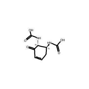 O=C(O)N[C@H]1CC=CC(=O)[C@@H]1NC(=O)O